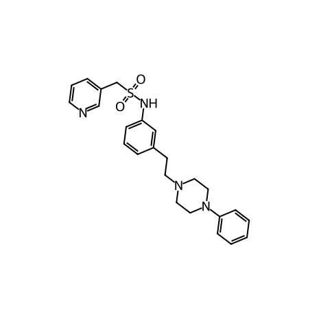 O=S(=O)(Cc1cccnc1)Nc1cccc(CCN2CCN(c3ccccc3)CC2)c1